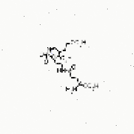 N[C@@H](CCC(=O)NCCOP(=O)(O)/N=C\C(CCC(=O)O)C(=O)O)C(=O)O